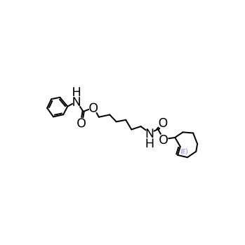 O=C(Nc1ccccc1)OCCCCCCNC(=O)OC1/C=C/CCCCC1